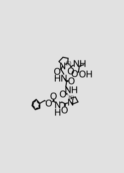 CC(NC(=O)[C@@H]1CCCN1C(=O)CNC(=O)CNC(=O)[C@@H]1CCCN1C(=O)CNC(=O)OCc1ccccc1)C(=O)O